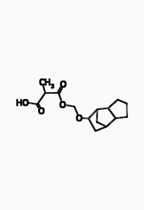 CC(C(=O)O)C(=O)OCOC1CC2CC1C1CCCC21